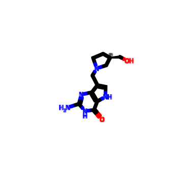 Nc1nc2c(CN3CC[C@@H](CO)C3)c[nH]c2c(=O)[nH]1